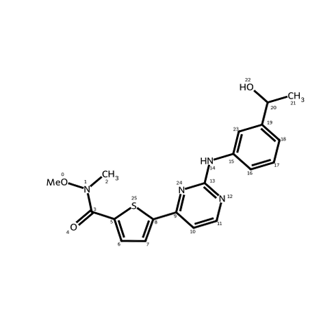 CON(C)C(=O)c1ccc(-c2ccnc(Nc3cccc(C(C)O)c3)n2)s1